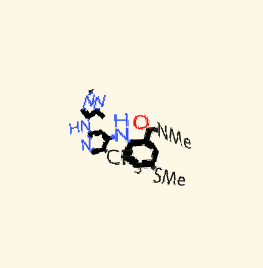 CNC(=O)c1cc(SC)ccc1Nc1cc(Nc2cn(C)nc2C)ncc1C(F)(F)F